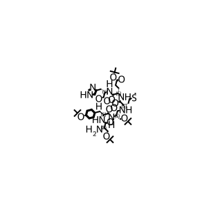 CSCC[C@H](NC(=O)[C@H](COC(C)(C)C)NC(=O)[C@H](Cc1ccc(OC(C)(C)C)cc1)NC(=O)[C@@H](N)COC(C)(C)C)C(=O)N[C@@H](CCC(=O)OC(C)(C)C)C(=O)N[C@@H](Cc1c[nH]cn1)C(=O)O